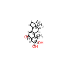 CC(=O)[C@H]1CCC2C3=CC(=O)[C@@H]4C[C@@H](O)[C@@H](O)C[C@]4(C)C3CC[C@@]21C